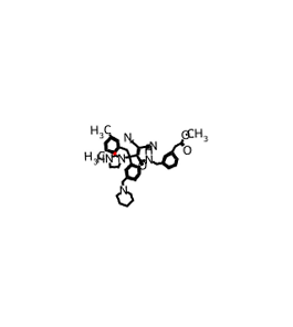 COC(=O)Cc1cccc(CNC(=O)C(=C(C#N)C#N)C(Cc2cc(C)cc(C)c2)(c2cccc(CN3CCCCC3)c2)N2CCNC2)c1